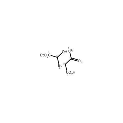 CCCC(=O)CC(=O)O.CCOC(=O)C(O)CC